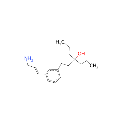 CCCC(O)(CCC)CCc1cccc(C=CCN)c1